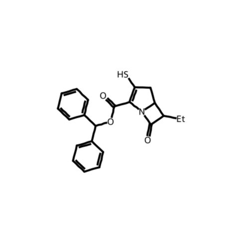 CCC1C(=O)N2C(C(=O)OC(c3ccccc3)c3ccccc3)=C(S)CC12